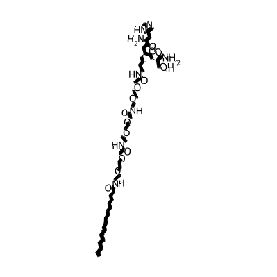 CCCCCCCCCCCCCCCCCC(=O)NCCOCCOCC(=O)NCCOCCOCC(=O)NCCOCCOCC(=O)NCCCC[C@H](CC(=O)[C@@H](N)Cc1cnc[nH]1)C(=O)C[C@@H](CO)C(N)=O